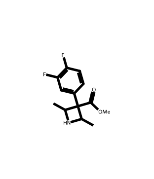 COC(=O)C1(c2ccc(F)c(F)c2)C(C)NC1C